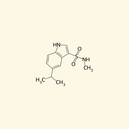 CNS(=O)(=O)c1c[nH]c2ccc(C(C)C)cc12